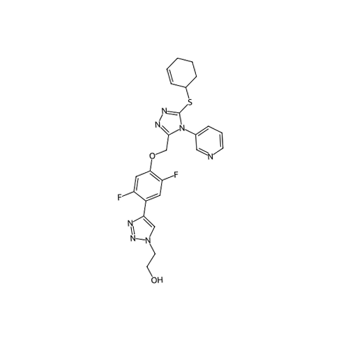 OCCn1cc(-c2cc(F)c(OCc3nnc(SC4C=CCCC4)n3-c3cccnc3)cc2F)nn1